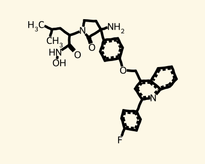 CC(C)CC(C(=O)NO)N1CCC(N)(c2ccc(OCc3cc(-c4ccc(F)cc4)nc4ccccc34)cc2)C1=O